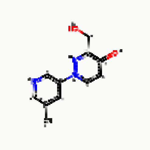 N#Cc1cncc(-n2ccc(=O)c(CO)n2)c1